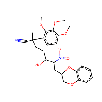 COc1ccc(C(C)(C#N)CCC(O)C(CC2COc3ccccc3O2)[N+](=O)[O-])c(OC)c1OC